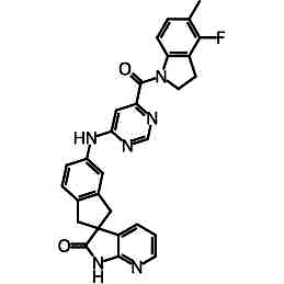 Cc1ccc2c(c1F)CCN2C(=O)c1cc(Nc2ccc3c(c2)CC2(C3)C(=O)Nc3ncccc32)ncn1